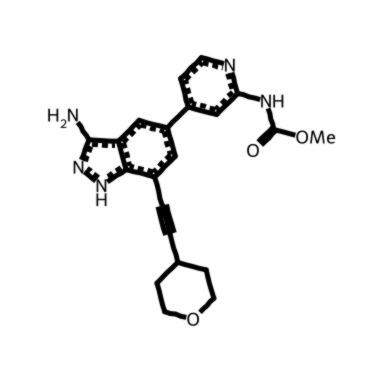 COC(=O)Nc1cc(-c2cc(C#CC3CCOCC3)c3[nH]nc(N)c3c2)ccn1